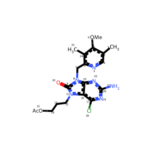 COc1c(C)cnc(Cn2c(=O)n(CCCOC(C)=O)c3c(Cl)nc(N)nc32)c1C